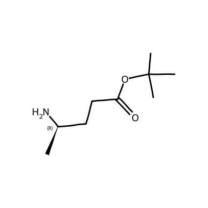 C[C@@H](N)CCC(=O)OC(C)(C)C